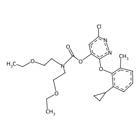 CCOCCN(CCOCC)C(=O)Oc1cc(Cl)nnc1Oc1c(C)cccc1C1CC1